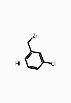 Clc1cccc([CH2][Zn])c1.I